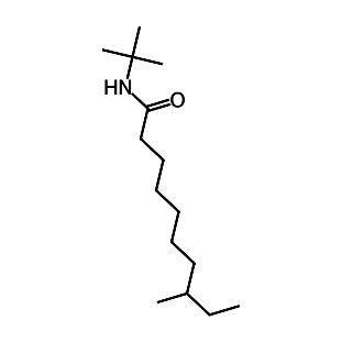 CCC(C)CCCCCCC(=O)NC(C)(C)C